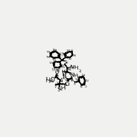 CC(C)(S)[C@@H](NC(=O)[C@H](Cc1ccccc1)NC(=O)[C@H](N)CSC(c1ccccc1)(c1ccccc1)c1ccccc1)C(=O)O